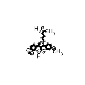 COc1ccc(C2C(C(=O)O)C(c3ccc4c(c3)OCO4)CN2C/C=C/CC(C)C)cc1